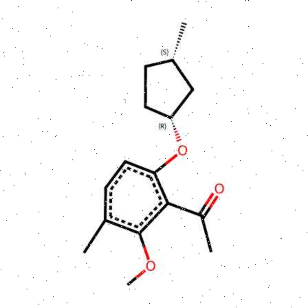 COc1c(C)ccc(O[C@@H]2CC[C@H](C)C2)c1C(C)=O